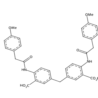 COc1ccc(CC(=O)Nc2ccc(Cc3ccc(NC(=O)Cc4ccc(OC)cc4)c(C(=O)O)c3)cc2C(=O)O)cc1